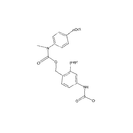 CCCCCCCCc1ccc(N(C)C(=O)OCc2ccc(NC([O])=O)cc2CCCCCCC)cc1